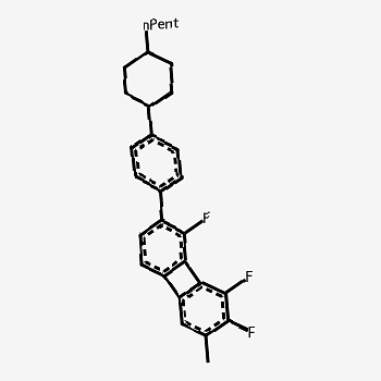 CCCCCC1CCC(c2ccc(-c3ccc4c(c3F)-c3c-4cc(C)c(F)c3F)cc2)CC1